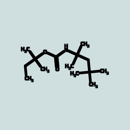 CCC(C)(C)OC(=O)NC(C)(C)CC(C)(C)C